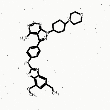 CCc1cc(OC)c2oc(Nc3ccc(-c4nn(C5CCC(N6CCOCC6)CC5)c5ncnc(N)c45)cc3)nc2c1